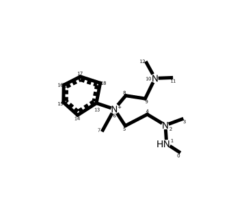 CNN(C)CC[N+](C)(CCN(C)C)c1ccccc1